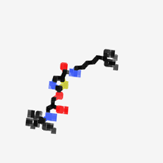 CC(C)CCCCCNC(=O)c1cnc(OCC(O)CNC(C)(C)C)s1